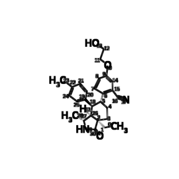 CC[C@@]12CC[C@@H](c3ccc(OCCO)cc3C#N)[C@H](c3ccc(C)cc3)[C@@H]1[C@@H](C)NC2=O